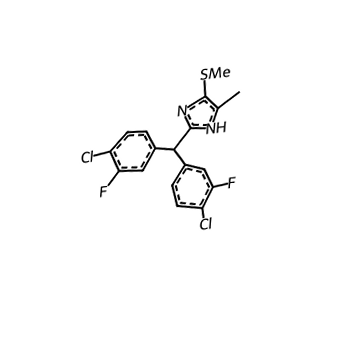 CSc1nc(C(c2ccc(Cl)c(F)c2)c2ccc(Cl)c(F)c2)[nH]c1C